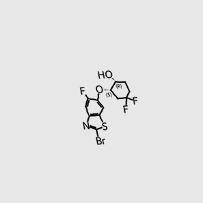 O[C@@H]1CCC(F)(F)C[C@@H]1Oc1cc2sc(Br)nc2cc1F